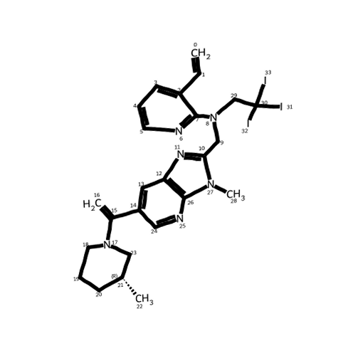 C=Cc1cccnc1N(Cc1nc2cc(C(=C)N3CCC[C@@H](C)C3)cnc2n1C)CC(I)(I)I